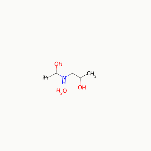 CC(O)CNC(O)C(C)C.O